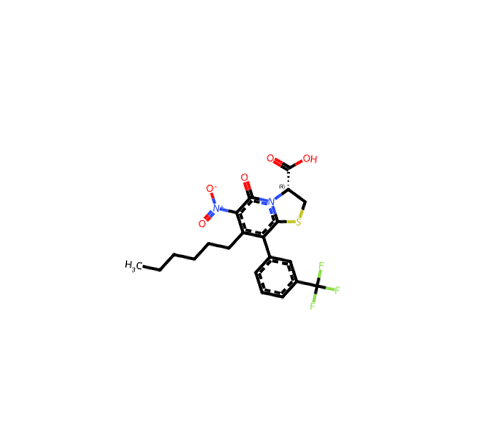 CCCCCCc1c(-c2cccc(C(F)(F)F)c2)c2n(c(=O)c1[N+](=O)[O-])[C@H](C(=O)O)CS2